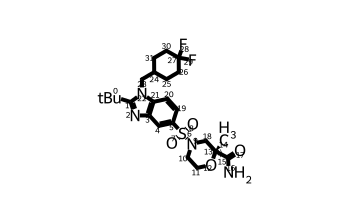 CC(C)(C)c1nc2cc(S(=O)(=O)N3CCO[C@@](C)(C(N)=O)C3)ccc2n1CC1CCC(F)(F)CC1